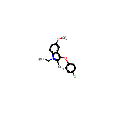 Cc1c(Oc2ccc(Cl)cc2)c2cc(OC(F)(F)F)ccc2n1CC(=O)O